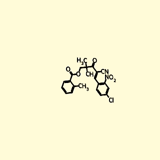 Cc1ccccc1C(=O)OCC(C)(C)C(=O)C(C#N)=Cc1ccc(Cl)cc1[N+](=O)[O-]